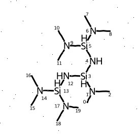 CN(C)[SiH](N[SiH](N(C)C)N(C)C)N[SiH](N(C)C)N(C)C